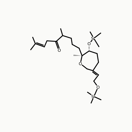 CC(C)=CCC(=O)C(C)CCC[C@]1(C)OCC(=CCO[Si](C)(C)C)CC[C@H]1O[Si](C)(C)C